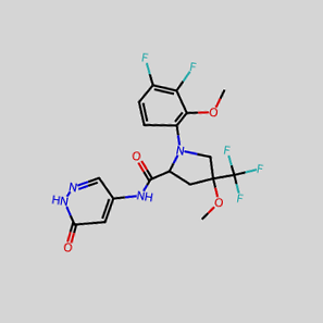 COc1c(N2CC(OC)(C(F)(F)F)CC2C(=O)Nc2cn[nH]c(=O)c2)ccc(F)c1F